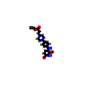 CC(C)(C)OC(=O)CCN1CCN(c2ccc(NC3CCC(=O)NC3=O)cc2)CC1